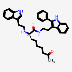 CC(=O)CCCCC[C@H](NCCc1c[nH]c2ccccc12)C(=O)NCCc1c(-c2ccccc2)[nH]c2ccccc12